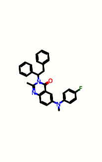 Cc1nc2ccc(N(C)c3ccc(F)cc3)cc2c(=O)n1C(Cc1ccccc1)c1ccccc1